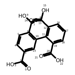 O=C(O)c1ccc(C(=O)O)c(-c2c(C(=O)O)cccc2C(=O)O)c1